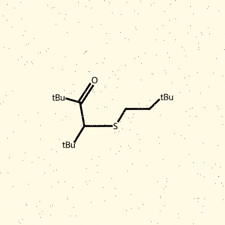 CC(C)(C)CCSC(C(=O)C(C)(C)C)C(C)(C)C